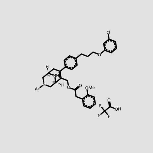 COc1ccccc1CC(=O)OCC1=C(c2ccc(CCCOc3cccc(Cl)c3)cc2)C[C@@H]2CN(C(C)=O)C[C@H]1N2.O=C(O)C(F)(F)F